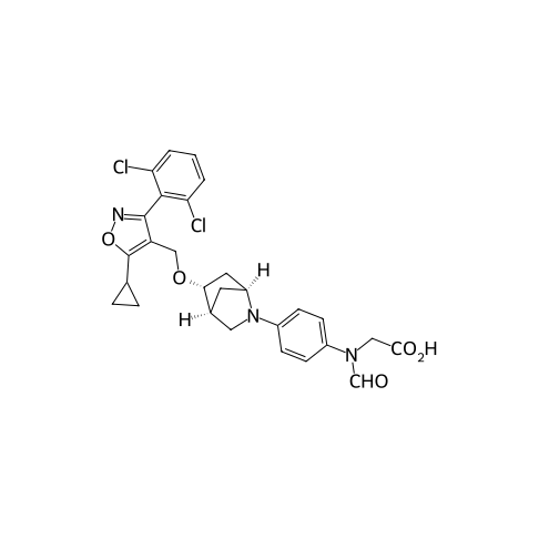 O=CN(CC(=O)O)c1ccc(N2C[C@@H]3C[C@H]2C[C@H]3OCc2c(-c3c(Cl)cccc3Cl)noc2C2CC2)cc1